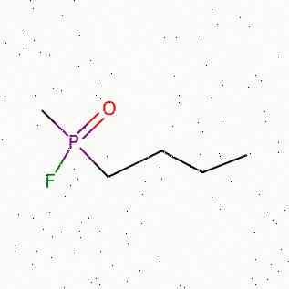 CCCCP(C)(=O)F